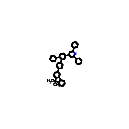 CC1(C)c2ccccc2-c2cc(-c3ccc(-c4cc(-c5cc(-c6ccccc6)nc(-c6ccccc6)c5)ccc4-c4ccccc4)cc3)ccc21